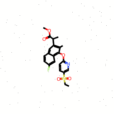 CCS(=O)(=O)c1ccc(Oc2c(C)c(C(C)C(=O)OC)cc3ccc(F)cc23)nc1